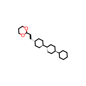 C(=C[C@H]1CC[C@H]([C@H]2CC[C@H](C3CCCCC3)CC2)CC1)C1OCCCO1